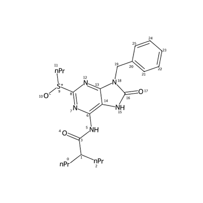 CCCC(CCC)C(=O)Nc1nc([S+]([O-])CCC)nc2c1[nH]c(=O)n2Cc1ccccc1